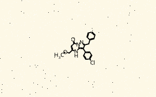 COCc1cc(=O)n2nc(Cc3ccccc3)c(-c3ccc(Cl)cc3)c2[nH]1